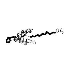 CCCCCCCCCCCC[C@H](CCC(C)[N+](C)(C)Cc1ccccc1)[N+](=O)[O-].Cl